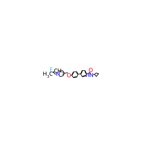 CC(C)(F)CN1CCC(COc2ccc(-c3ccc(C(=O)NC4CCC4)cc3)cc2)CC1